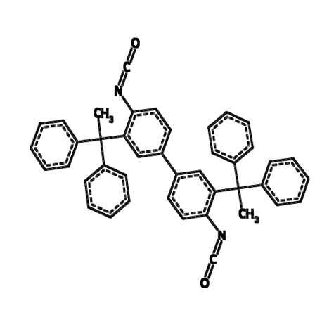 CC(c1ccccc1)(c1ccccc1)c1cc(-c2ccc(N=C=O)c(C(C)(c3ccccc3)c3ccccc3)c2)ccc1N=C=O